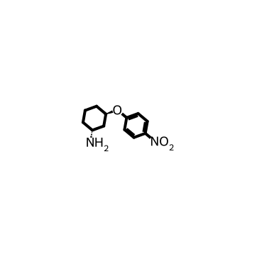 N[C@@H]1CCC[C@@H](Oc2ccc([N+](=O)[O-])cc2)C1